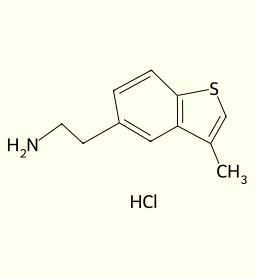 Cc1csc2ccc(CCN)cc12.Cl